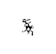 C#CCn1c(=O)c2c(nc(-c3cncn3C)n2C)n(CC)c1=O